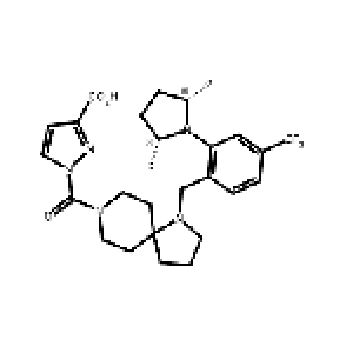 C[C@@H]1CC[C@H](C)N1c1cc(C(F)(F)F)ccc1CN1CCCC12CCN(C(=O)n1ccc(C(=O)O)n1)CC2